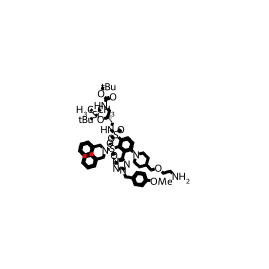 COc1ccc(Cn2nnc(-c3c(N4CCC(COCCN)CC4)ccc(S(=O)(=O)NC[C@@H](CNC(=O)OC(C)(C)C)O[Si](C)(C)C(C)(C)C)c3S(=O)(=O)N(Cc3ccccc3)Cc3ccccc3)n2)cc1